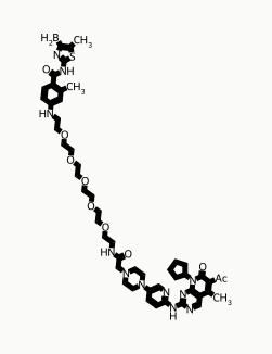 Bc1nc(NC(=O)c2ccc(NCCOCCOCCOCCOCCOCCNC(=O)CN3CCN(c4ccc(Nc5ncc6c(C)c(C(C)=O)c(=O)n(C7CCCC7)c6n5)nc4)CC3)cc2C)sc1C